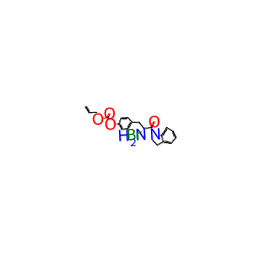 C=CCOC(=O)Oc1ccc(C[C@@H](N)C(=O)N2CCc3ccccc32)c(Br)c1